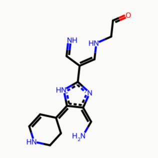 N=C/C(=C\NCC=O)c1nc(=C/N)/c(=C2/C=CNCC2)[nH]1